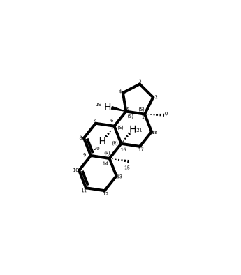 C[C@@]12CCC[C@H]1[C@@H]1CC=C3C=CCC[C@]3(C)[C@@H]1CC2